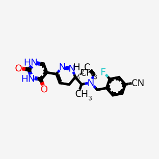 C=CN(Cc1ccc(C#N)cc1F)C(C)[C@@]1(C)CC=C(c2c[nH]c(=O)[nH]c2=O)N=N1